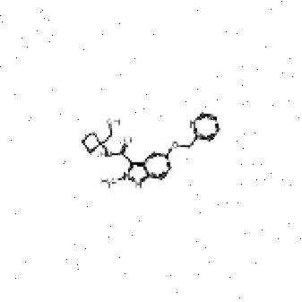 Cn1nc2ccc(OCc3ccccn3)cc2c1C(=O)NC1(CO)CCC1